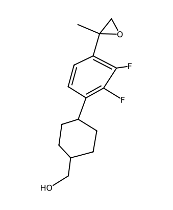 CC1(c2ccc(C3CCC(CO)CC3)c(F)c2F)CO1